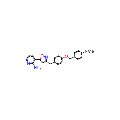 CNc1ccc(COc2ccc(Cc3cc(-c4cccnc4N)on3)cc2)cc1